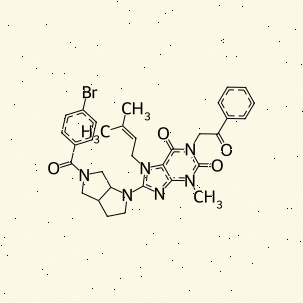 CC(C)=CCn1c(N2CCC3CN(C(=O)c4ccc(Br)cc4)CC32)nc2c1c(=O)n(CC(=O)c1ccccc1)c(=O)n2C